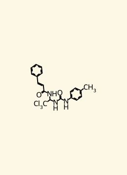 Cc1ccc(NC(=O)NC(NC(=O)/C=C/c2ccccc2)C(Cl)(Cl)Cl)cc1